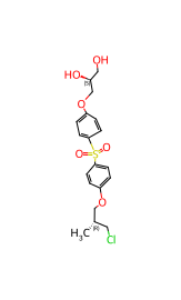 C[C@@H](CCl)COc1ccc(S(=O)(=O)c2ccc(OC[C@@H](O)CO)cc2)cc1